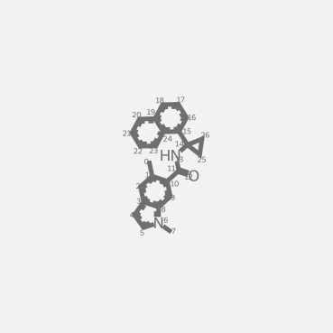 Cc1cc2ccn(C)c2cc1C(=O)NC1(c2cccc3ccccc23)CC1